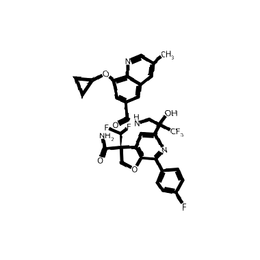 Cc1cnc2c(OC3CC3)cc(C(=O)NCC(O)(c3cc4c(c(-c5ccc(F)cc5)n3)OC[C@@]4(C(N)=O)C(F)F)C(F)(F)F)cc2c1